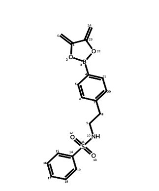 C=C1OB(c2ccc(CCNS(=O)(=O)c3ccccc3)cc2)OC1=C